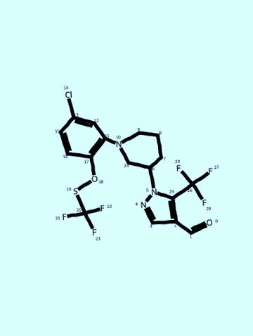 O=Cc1cnn(C2CCCN(c3cc(Cl)ccc3OSC(F)(F)F)C2)c1C(F)(F)F